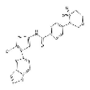 O=C(Nc1ccc(Cl)c(-c2ccc3[nH]ccc3n2)c1)c1ccc(N2COCCS2(=O)=O)cc1